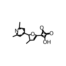 Cc1cc(C2OC(c3c(O)c(=O)c3=O)=CC2C)cc(C)n1